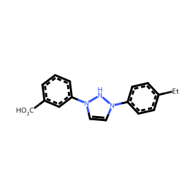 CCc1ccc(N2C=CN(c3cccc(C(=O)O)c3)N2)cc1